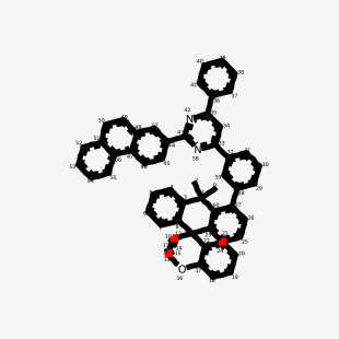 CC1(C)c2ccccc2C2(c3ccccc3Oc3ccccc32)c2cccc(-c3cccc(-c4cc(-c5ccccc5)nc(-c5ccc6c(ccc7ccccc76)c5)n4)c3)c21